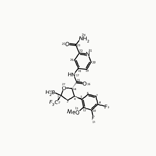 B[C@@]1(C(F)(F)F)C[C@H](c2ccc(F)c(F)c2OC)[C@@H](C(=O)Nc2ccnc(C(N)=O)c2)O1